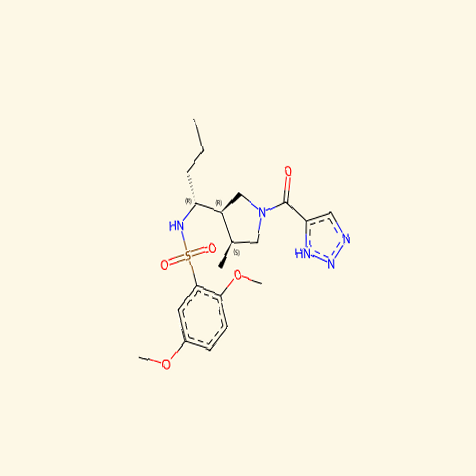 CCC[C@@H](NS(=O)(=O)c1cc(OC)ccc1OC)[C@H]1CN(C(=O)c2cnn[nH]2)C[C@H]1C